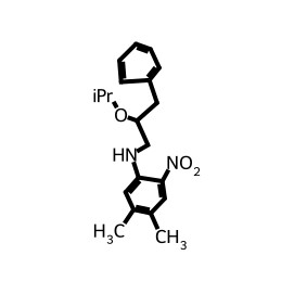 Cc1cc(NCC(Cc2ccccc2)OC(C)C)c([N+](=O)[O-])cc1C